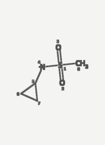 CS(=O)(=O)[N]C1CC1